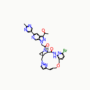 CC(=O)c1nn(CC(=O)N2C3C[C@]34C[C@H]2C(=O)Nc2nc(Br)ccc2COC/C=C/c2ccn(n2)C4)c2cnc(-c3cnc(C)nc3)cc12